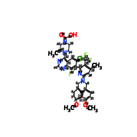 COc1ccc(CN(Cc2ccc(OC)cc2)c2cc(C)c(C(F)(F)F)c(-c3c(Cl)cc4c(N5CCN(C(=O)O)C[C@H]5C)ncnc4c3F)n2)cc1